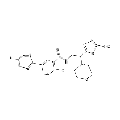 O=Cc1ncc(C(CNC(=O)c2cc(-c3ncc(F)cn3)ccc2Cl)N2CCOCC2)s1